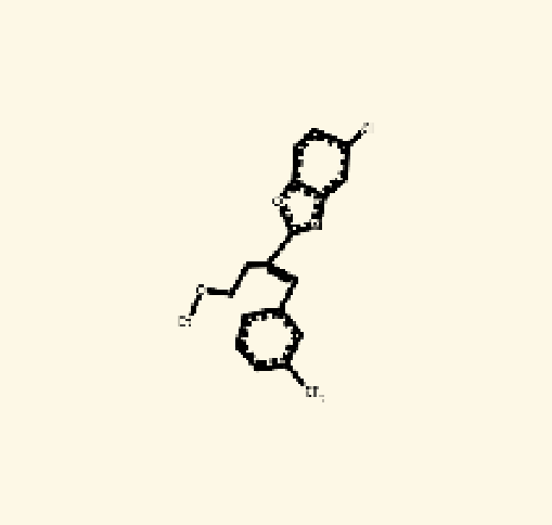 CCOCCC(=Cc1cccc(C(F)(F)F)c1)c1nc2cc(Cl)ccc2o1